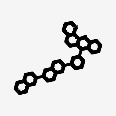 c1cc(-c2ccc3cc(-c4ccc5ccccc5c4)ccc3c2)cc(-c2c3ccccc3nc3c2ccc2cccnc23)c1